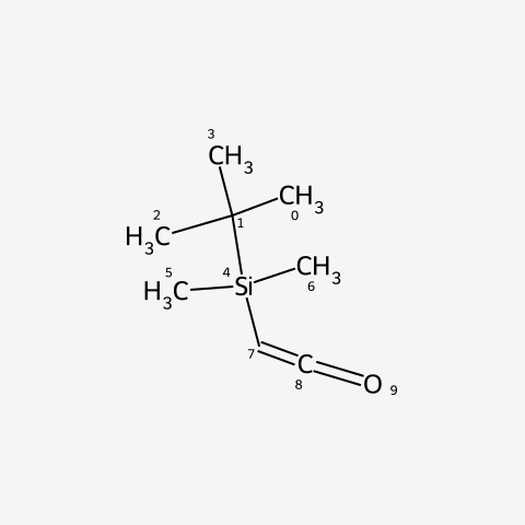 CC(C)(C)[Si](C)(C)C=C=O